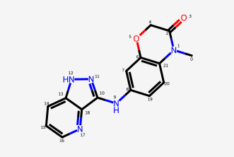 CN1C(=O)COc2cc(Nc3n[nH]c4cccnc34)ccc21